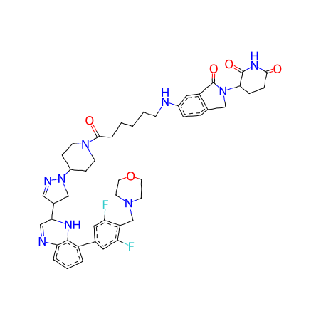 O=C1CCC(N2Cc3ccc(NCCCCCC(=O)N4CCC(N5CC(C6C=Nc7cccc(-c8cc(F)c(CN9CCOCC9)c(F)c8)c7N6)C=N5)CC4)cc3C2=O)C(=O)N1